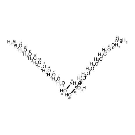 O.O.O.O.O.O.O.O.O.O.O.O.O.O.O.O.O.O.O.O=S(=O)(O)O.O=S(=O)(O)O.[AlH3].[MgH2]